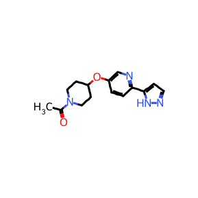 CC(=O)N1CCC(Oc2ccc(-c3ccn[nH]3)nc2)CC1